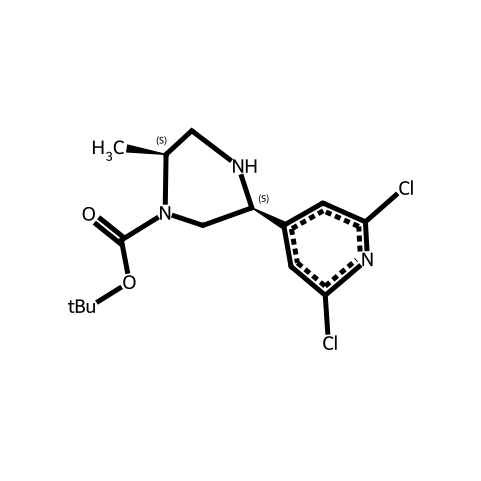 C[C@H]1CN[C@@H](c2cc(Cl)nc(Cl)c2)CN1C(=O)OC(C)(C)C